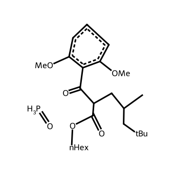 CCCCCCOC(=O)C(CC(C)CC(C)(C)C)C(=O)c1c(OC)cccc1OC.O=[PH3]